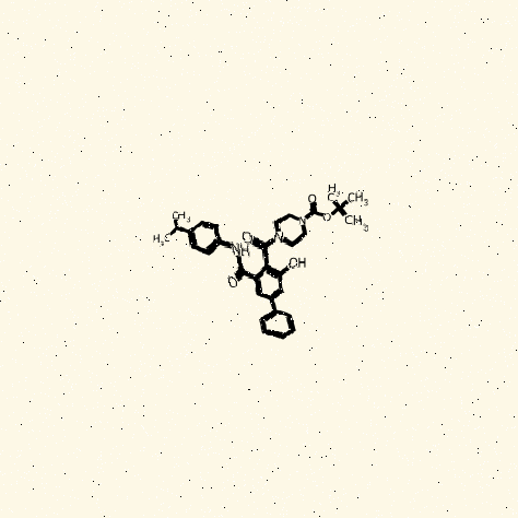 CC(C)c1ccc(NC(=O)c2cc(-c3ccccc3)cc(O)c2C(=O)N2CCN(C(=O)OC(C)(C)C)CC2)cc1